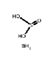 O=S(O)O.[BiH3]